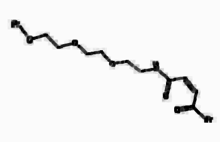 CC(C)OCCOCCOCCNC(=O)/C=C\C(=O)C(C)C